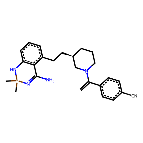 C=C(c1ccc(C#N)cc1)N1CCC[C@H](CCc2cccc3c2C(N)=NS(C)(C)N3)C1